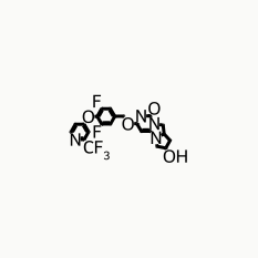 O=c1nc(OCc2cc(F)c(Oc3ccnc(C(F)(F)F)c3)c(F)c2)cc2n1CC1CC(O)CN21